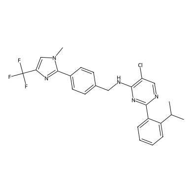 CC(C)c1ccccc1-c1ncc(Cl)c(NCc2ccc(-c3nc(C(F)(F)F)cn3C)cc2)n1